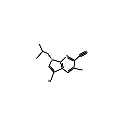 Cc1cc2c(Br)cn(CC(C)C)c2nc1C#N